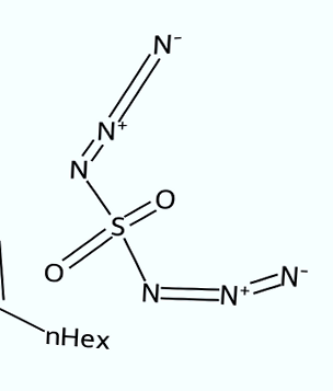 C=CCCCCCC.[N-]=[N+]=NS(=O)(=O)N=[N+]=[N-]